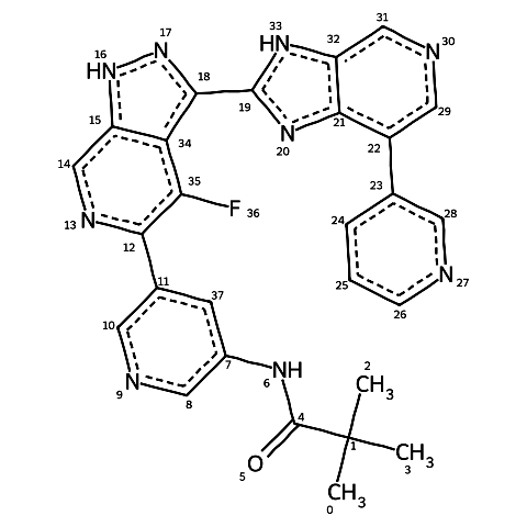 CC(C)(C)C(=O)Nc1cncc(-c2ncc3[nH]nc(-c4nc5c(-c6cccnc6)cncc5[nH]4)c3c2F)c1